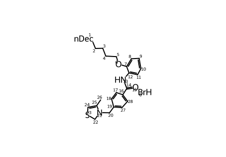 Br.CCCCCCCCCCCCCCOc1ccccc1NC(=O)c1ccc(CN2CSC=C2C)cc1